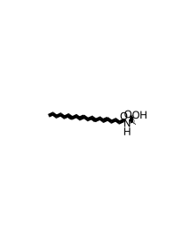 CCCCCC=CCC=CCC=CCC=CCCCC(=O)N[C@@H](C)C(=O)O